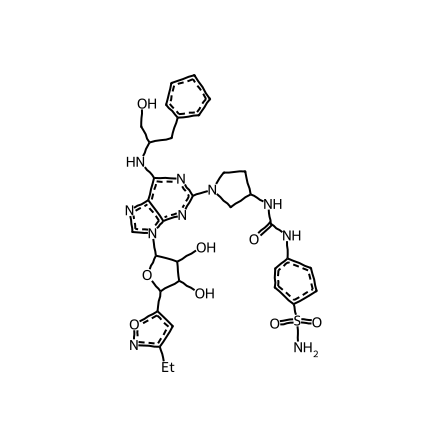 CCc1cc(C2OC(n3cnc4c(NC(CO)Cc5ccccc5)nc(N5CCC(NC(=O)Nc6ccc(S(N)(=O)=O)cc6)C5)nc43)C(O)C2O)on1